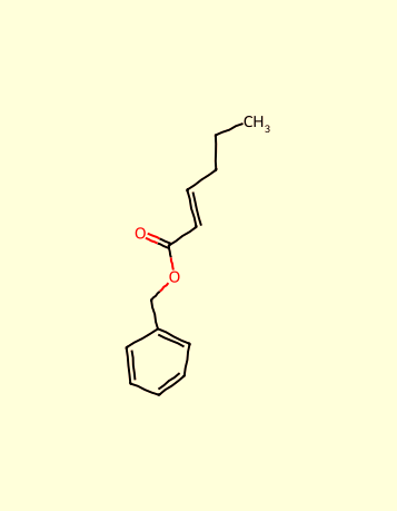 CCCC=CC(=O)OCc1ccccc1